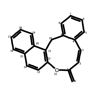 C=C1/C=C\c2ccccc2Cc2c(ccc3ccccc23)O1